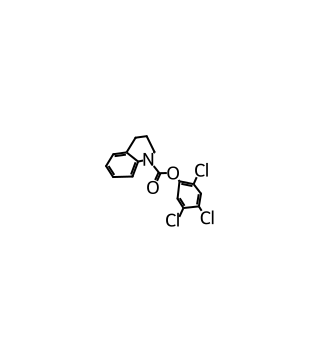 O=C(Oc1cc(Cl)c(Cl)cc1Cl)N1CCCc2ccccc21